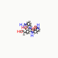 Cc1cc(C(Nc2ccc3cc[nH]c(=O)c3c2)C(=O)N(CCO)Cc2cccc(N)c2)ccc1[C@@H](C)CO